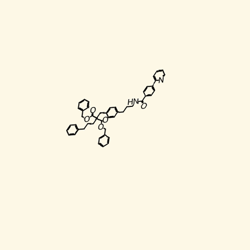 O=C(NCCCc1ccc(CC(CCCc2ccccc2)(C(=O)OCc2ccccc2)C(=O)OCc2ccccc2)cc1)c1ccc(-c2ccccn2)cc1